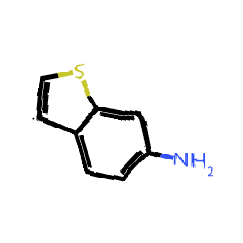 Nc1ccc2[c]csc2c1